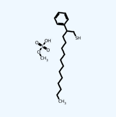 CCCCCCCCCCCCC(CS)c1ccccc1.COS(=O)(=O)O